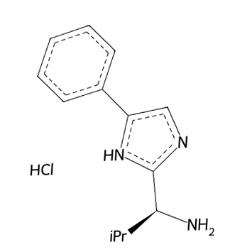 CC(C)[C@H](N)c1ncc(-c2ccccc2)[nH]1.Cl